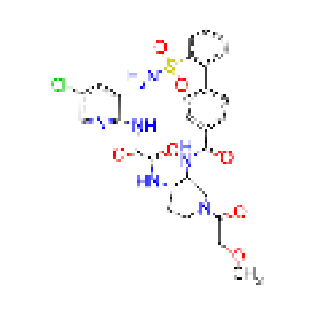 COCC(=O)N1CCC(NC(=O)C(=O)Nc2ccc(Cl)cn2)C(NC(=O)c2ccc(-c3ccccc3S(N)(=O)=O)cc2)C1